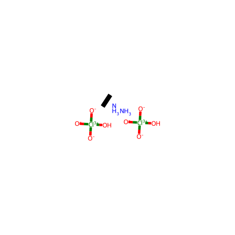 C=C.N.N.[O-][Cl+3]([O-])([O-])O.[O-][Cl+3]([O-])([O-])O